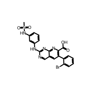 CS(=O)(=O)Nc1cccc(Nc2ncc3cc(-c4ccccc4Br)c(C(=O)O)nc3n2)c1